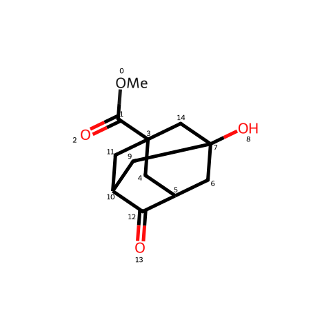 COC(=O)C12CC3CC(O)(CC(C1)C3=O)C2